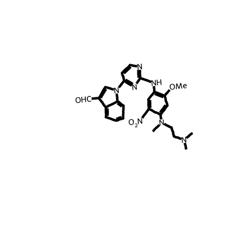 COc1cc(N(C)CCN(C)C)c([N+](=O)[O-])cc1Nc1nccc(-n2cc(C=O)c3ccccc32)n1